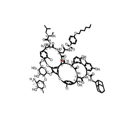 CCCCCCOc1ccc(S(=O)(=O)NC(=O)C[C@@H]2NC(=O)[C@H](NC(=O)[C@@H](CC(C)C)NC)[C@H](O)c3ccc(c(Cl)c3)Oc3cc4cc(c3O[C@@H]3O[C@H](CO)[C@@H](O)[C@H](O)[C@H]3O[C@H]3C[C@](C)(N)[C@H](O)[C@H](C)O3)Oc3ccc(cc3Cl)[C@@H](O)[C@@H]3NC(=O)[C@H](NC(=O)[C@@H]4NC2=O)c2ccc(O)c(c2)-c2c(O)cc(O)cc2[C@@H](C(=O)NC2C4CC5CC(C4)CC2C5)NC3=O)cc1